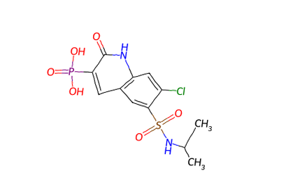 CC(C)NS(=O)(=O)c1cc2cc(P(=O)(O)O)c(=O)[nH]c2cc1Cl